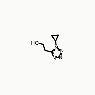 OCCc1nnnn1C1CC1